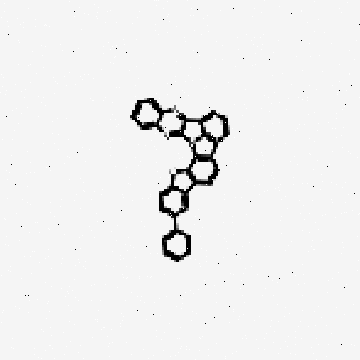 c1ccc(-c2ccc3oc4c(ccc5c6cccc7c8nc9ccccc9nc8n(c67)c54)c3c2)cc1